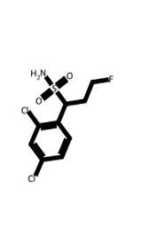 NS(=O)(=O)C(CCF)c1ccc(Cl)cc1Cl